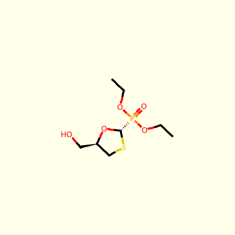 CCOP(=O)(OCC)[C@H]1O[C@H](CO)CS1